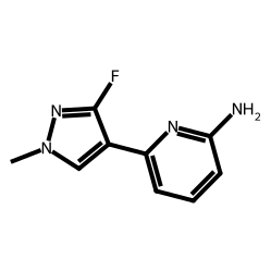 Cn1cc(-c2cccc(N)n2)c(F)n1